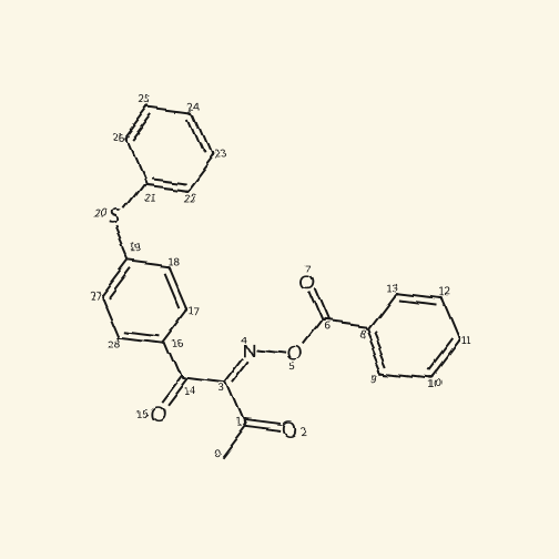 CC(=O)/C(=N\OC(=O)c1ccccc1)C(=O)c1ccc(Sc2ccccc2)cc1